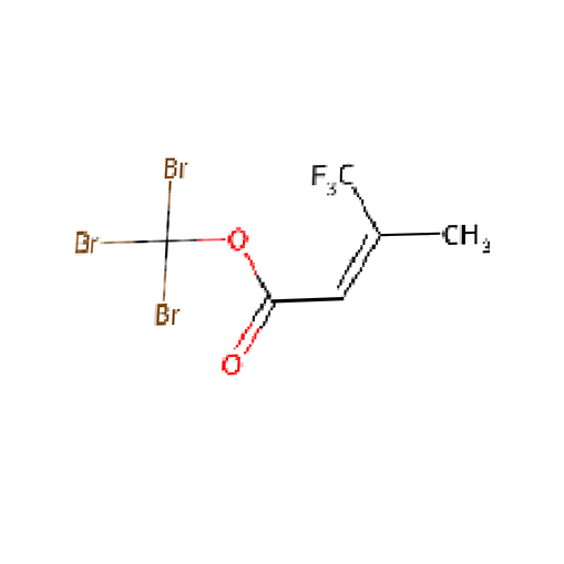 C/C(=C/C(=O)OC(Br)(Br)Br)C(F)(F)F